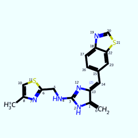 C=c1[nH]c(NCc2nc(C)cs2)n/c1=C\c1ccc2ncsc2c1